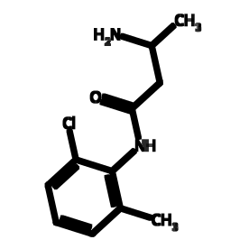 Cc1cccc(Cl)c1NC(=O)CC(C)N